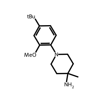 COc1cc(C(C)(C)C)ccc1N1CCC(C)(N)CC1